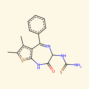 Cc1sc2c(c1C)C(c1ccccc1)=NC(NC(N)=S)C(=O)N2